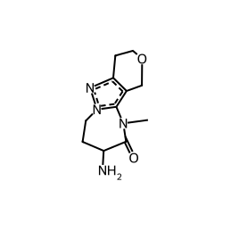 CN1C(=O)C(N)CCn2nc3c(c21)COCC3